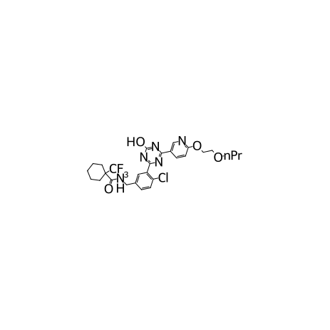 CCCOCCOc1ccc(-c2nc(O)nc(-c3cc(CNC(=O)C4(C(F)(F)F)CCCCC4)ccc3Cl)n2)cn1